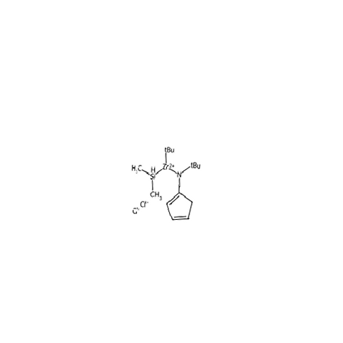 C[SiH](C)[Zr+2]([N](C1=CC=CC1)C(C)(C)C)[C](C)(C)C.[Cl-].[Cl-]